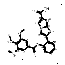 COc1cc(C(=O)Nc2ccccc2-c2cn3cc(C(=O)O)nc3s2)cc(OC)c1OC